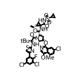 C=C[C@@H]1C[C@]1(NC(=O)[C@@H]1C[C@@H](Oc2ncc(OC)c3ccc(Cl)cc23)CN1C(=O)[C@@H](Nc1nc(-c2cc(Cl)cc(Cl)c2F)cs1)C(C)(C)C)C(=O)NS(=O)(=O)C1CC1